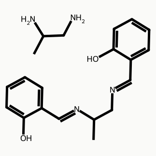 CC(CN=Cc1ccccc1O)N=Cc1ccccc1O.CC(N)CN